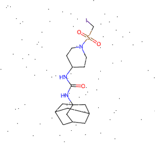 O=C(NC1CCN(S(=O)(=O)CI)CC1)NC12CC3CC(CC(C3)C1)C2